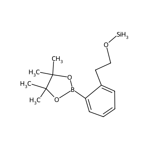 CC1(C)OB(c2ccccc2CCO[SiH3])OC1(C)C